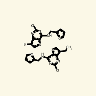 CCc1csc2c(NCc3ccco3)nc(Cl)nc12.Clc1nc(NCc2ccco2)c2scc(Br)c2n1